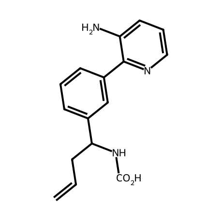 C=CCC(NC(=O)O)c1cccc(-c2ncccc2N)c1